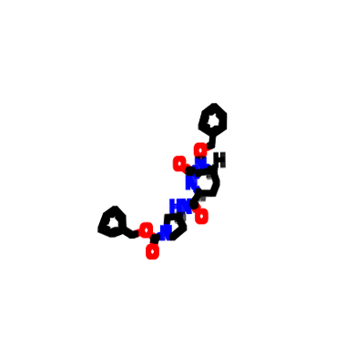 O=C(N[C@H]1CCN(C(=O)OCc2ccccc2)C1)[C@@H]1CC[C@@H]2CN1C(=O)N2OCc1ccccc1